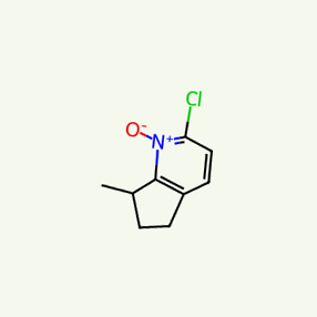 CC1CCc2ccc(Cl)[n+]([O-])c21